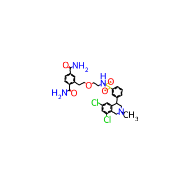 CN1Cc2c(Cl)cc(Cl)cc2C(c2cccc(S(=O)(=O)NCCOCCc3cc(C(N)=O)ccc3C(N)=O)c2)C1